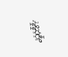 CC(C)NC(=O)Nc1ccc2c(c1)CCC(=O)N2